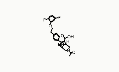 CC(=O)N1CC2CC(c3ccc(CCOc4cc(F)ccc4F)cc3)=C(C(=O)O)[C@@H](C1)N2